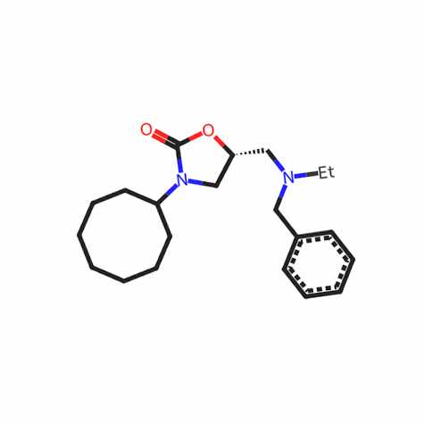 CCN(Cc1ccccc1)C[C@@H]1CN(C2CCCCCCC2)C(=O)O1